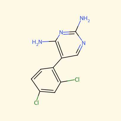 Nc1ncc(-c2ccc(Cl)cc2Cl)c(N)n1